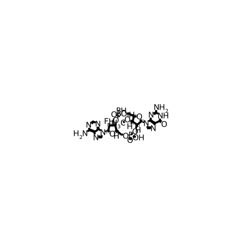 B[P@@]1(=O)OC[C@H]2O[C@@H](n3cnc4c(=O)[nH]c(N)nc43)[C@H](OP(=O)(O)OC[C@H]3O[C@@H](n4cnc5c(N)ncnc54)[C@H](F)[C@@H]3O1)[C@@H]2OC